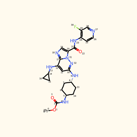 CC(C)OC(=O)N[C@H]1CC[C@H](Nc2cc(NC3CC3)c3ncc(C(=O)Nc4ccncc4F)n3n2)CC1